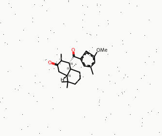 COc1cc(C)cc(C(=O)[C@H]2C(C)C(=O)C[C@H]3C(C)(C)CCC[C@]23C)c1